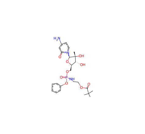 CC(C)(C)C(=O)OCCNP(=O)(OC[C@H]1O[C@@H](n2ccc(N)cc2=O)[C@](C)(O)[C@@H]1O)Oc1ccccc1